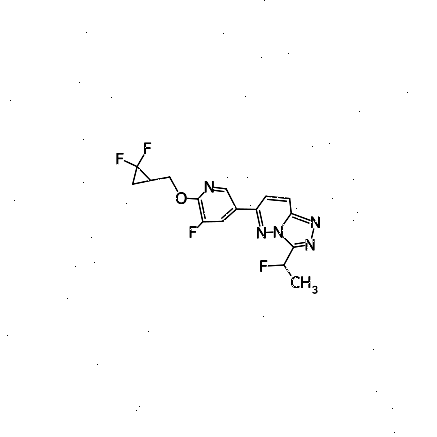 CC(F)c1nnc2ccc(-c3cnc(OCC4CC4(F)F)c(F)c3)nn12